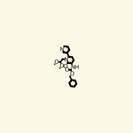 COC(Cn1c(-c2cccnc2)ccc(NC(=O)OCc2ccccc2)c1=O)OC